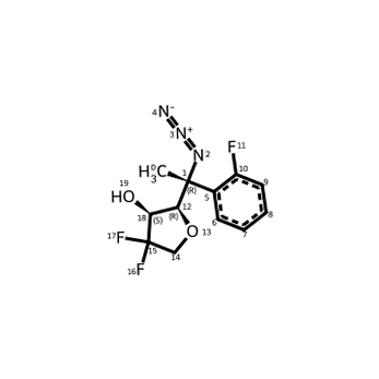 C[C@@](N=[N+]=[N-])(c1ccccc1F)[C@H]1OCC(F)(F)[C@H]1O